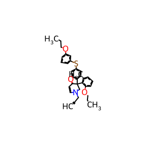 C#CCN1C=CC(=O)C(c2ccc(Sc3cccc(OCCC)c3)cc2)(c2c(C)cccc2OCCC)C1